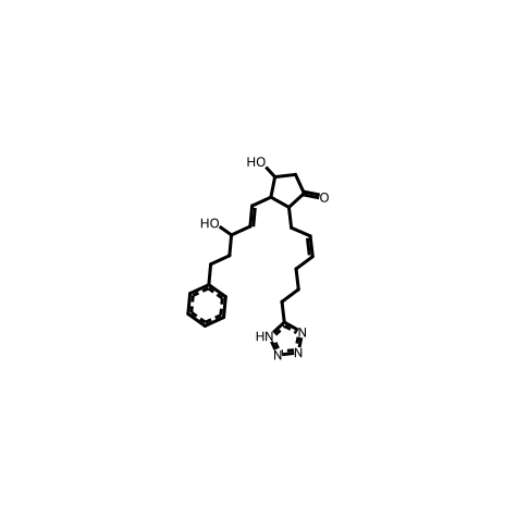 O=C1CC(O)C(C=CC(O)CCc2ccccc2)C1C/C=C\CCCc1nnn[nH]1